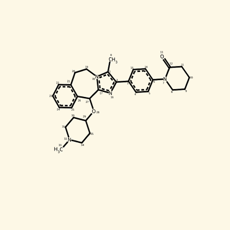 Cc1c(-c2ccc(N3CCCCC3=O)cc2)nc2n1CCc1ccccc1C2OC1CCN(C)CC1